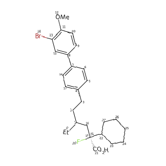 CCC(CCc1ccc(-c2ccc(OC)c(Br)c2)cc1)C[C@@](F)(C(=O)O)C1CCCCC1